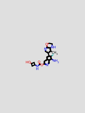 Cc1c(-c2cc3cc(OC(=O)NC4CC(O)C4)ncc3c(N)c2F)cnc2c1NCCO2